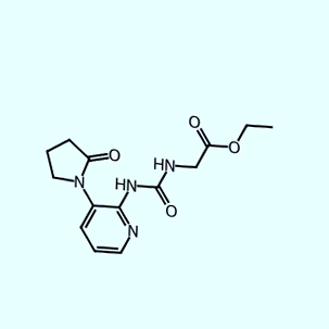 CCOC(=O)CNC(=O)Nc1ncccc1N1CCCC1=O